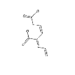 C=C/C=C(\C=C/CC(=O)Cl)C(=O)Cl